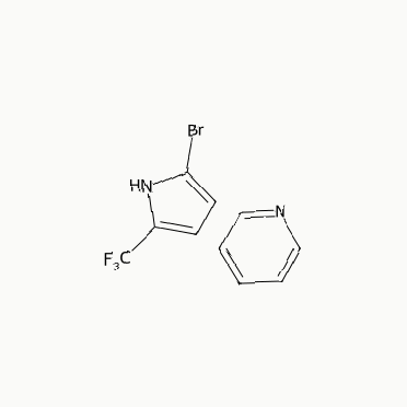 FC(F)(F)c1ccc(Br)[nH]1.c1ccncc1